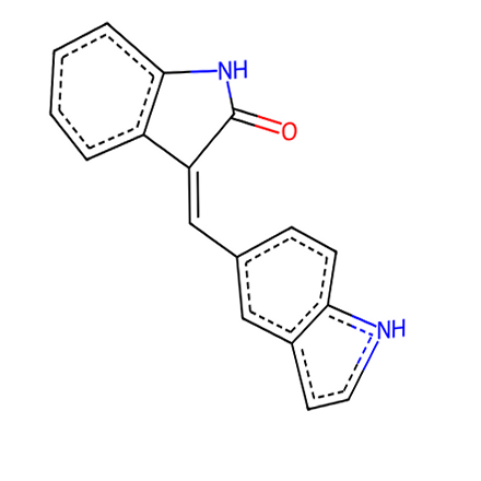 O=C1Nc2ccccc2C1=Cc1ccc2[nH]ccc2c1